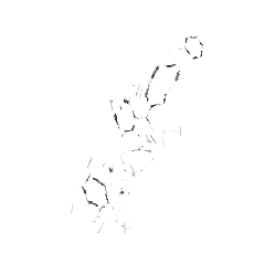 N=C(c1ccc(Oc2ccccc2)cc1)c1c(N)ncnc1N[C@H]1CCN(S(=O)(=O)c2c(F)c(F)c(F)c(F)c2OC(F)F)C1